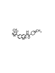 Cc1nnc(-c2ccc3nnc(NC(=O)C4CCN(C)CC4)cc3c2)s1